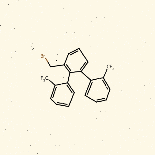 FC(F)(F)c1ccccc1-c1cccc(CBr)c1-c1ccccc1C(F)(F)F